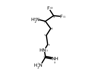 N=C(N)NCCCC(N)C(F)F